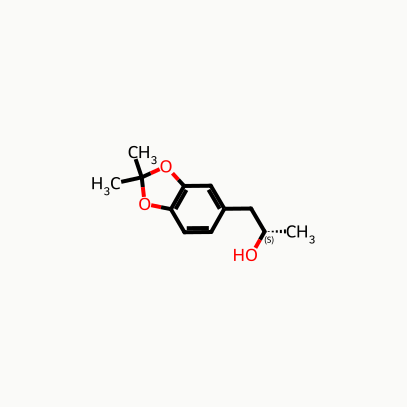 C[C@H](O)Cc1ccc2c(c1)OC(C)(C)O2